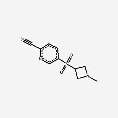 CN1CC(S(=O)(=O)c2ccc(C#N)nc2)C1